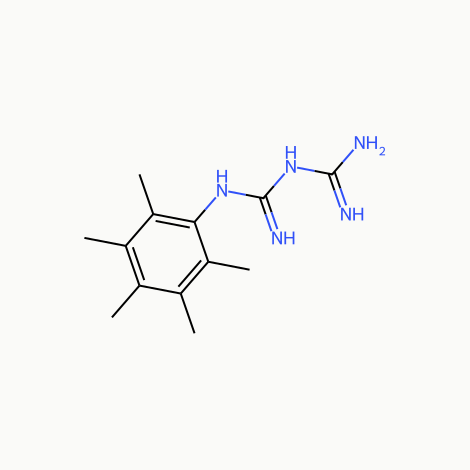 Cc1c(C)c(C)c(NC(=N)NC(=N)N)c(C)c1C